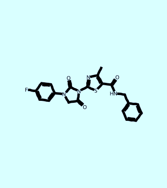 Cc1nc(N2C(=O)CN(c3ccc(F)cc3)C2=O)sc1C(=O)NCc1ccccc1